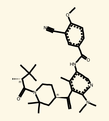 C=C(c1c(N(C)C)ncc(NC(=O)c2ccc(OC)c(C#N)c2)c1C)[C@@H]1CCN(C(=O)[C@H](C)C(C)(C)C)C(C)(C)C1